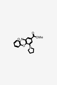 COC(=O)c1cc(N2CCCC2)c(Oc2ccccc2)c([N+](=O)[O-])c1